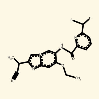 CCOc1cc2nc(C(C)C#N)cn2cc1NC(=O)c1cccc(C(F)F)n1